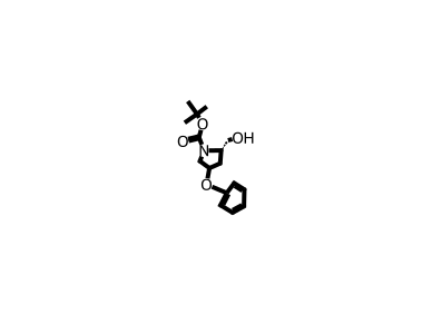 CC(C)(C)OC(=O)N1CC(Oc2ccccc2)C[C@H]1CO